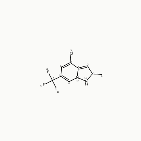 CC1C=C2C(Cl)=CC(C(F)(F)F)=CN2N1